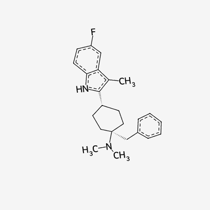 Cc1c2cc(F)ccc2[nH]c1[C@H]1CC[C@](Cc2ccccc2)(N(C)C)CC1